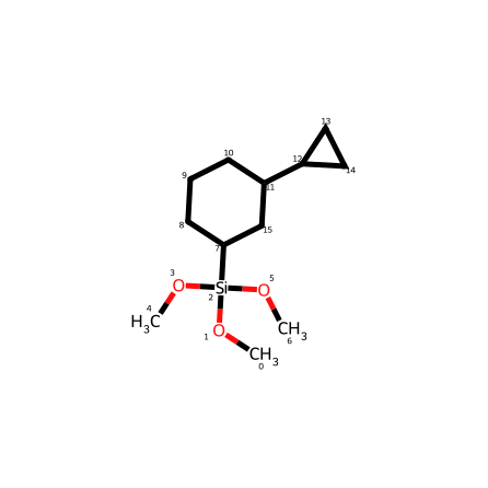 CO[Si](OC)(OC)C1CCCC(C2CC2)C1